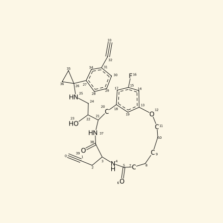 C#CCC1NC(=O)CCCCCOc2cc(F)cc(c2)CC(C(O)CNC2(c3cccc(C#C)c3)CC2)NC1=O